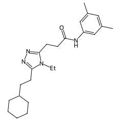 CCn1c(CCC(=O)Nc2cc(C)cc(C)c2)nnc1CCC1CCCCC1